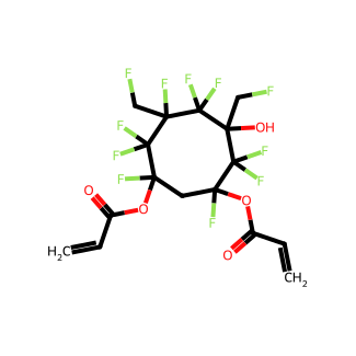 C=CC(=O)OC1(F)CC(F)(OC(=O)C=C)C(F)(F)C(F)(CF)C(F)(F)C(O)(CF)C1(F)F